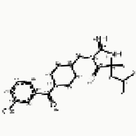 CC(C)CC1(C)NC(=N)N(CC2CCN(C(=O)c3cccc(Cl)c3)CC2)C1=O